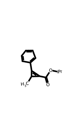 CC(C)OC(=O)C1=C(c2ccccc2)C1C